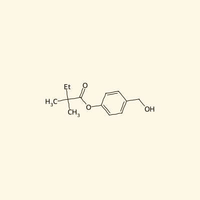 CCC(C)(C)C(=O)Oc1ccc(CO)cc1